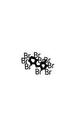 Brc1cc(Cc2c(Br)c(Br)c(Br)c(Br)c2Br)c(Br)c(Br)c1Br